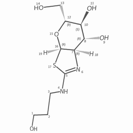 OCCCNC1=N[C@@H]2[C@@H](O)[C@H](O)[C@@H](CO)O[C@@H]2S1